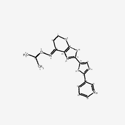 CC(C)O/N=C1\CCOc2sc(-c3cnc(-c4cccnc4)s3)nc21